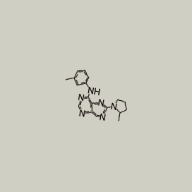 Cc1cccc(Nc2ncnc3cnc(N4CCCC4C)nc23)c1